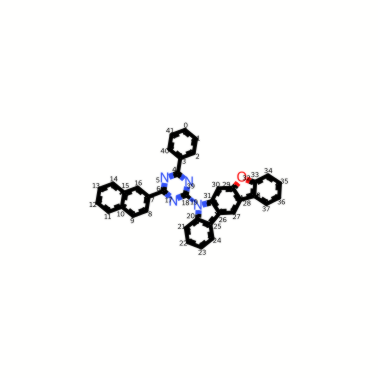 c1ccc(-c2nc(-c3ccc4ccccc4c3)nc(-n3c4ccccc4c4cc5c(cc43)oc3ccccc35)n2)cc1